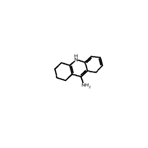 NC1=C2CC=CC=C2NC2=C1CCCC2